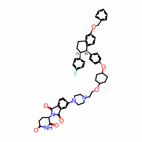 O=C1CCC(N2C(=O)c3ccc(N4CCN(CCOC5CCC(Oc6ccc([C@@H]7c8ccc(OCc9ccccc9)cc8CC[C@@H]7c7ccc(F)cc7)cc6)CC5)CC4)cc3C2=O)C(=O)N1